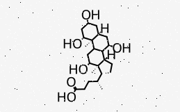 C[C@H](CCC(=O)O)[C@H]1CC[C@H]2C3C(C[C@H](O)[C@]12C)[C@]1(C)[C@@H](C[C@H](O)C[C@H]1O)C[C@H]3O